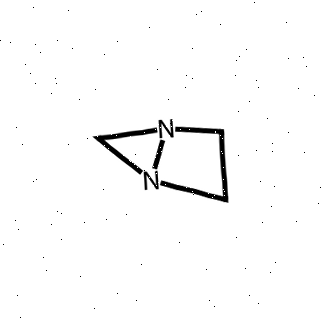 C1CN2CN12